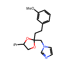 COc1cccc(CCC2(Cn3ccnc3)OCC(C(C)C)O2)c1